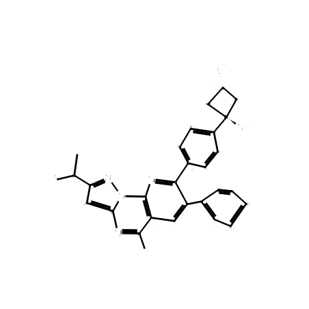 Cc1nc2cc(C(C)C)nn2c2nc(-c3ccc([C@]4(N)C[C@H](O)C4)cc3)c(-c3ccccc3)cc12